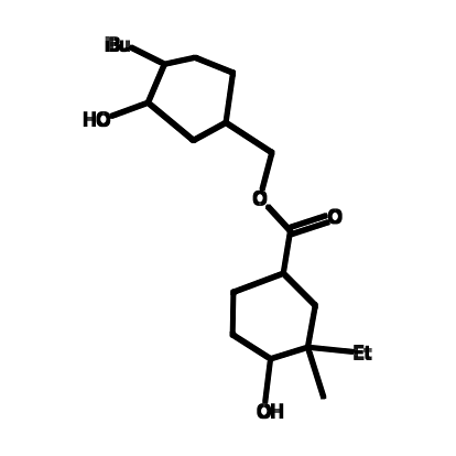 CCC(C)C1CCC(COC(=O)C2CCC(O)C(C)(CC)C2)CC1O